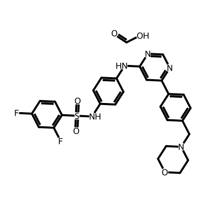 O=CO.O=S(=O)(Nc1ccc(Nc2cc(-c3ccc(CN4CCOCC4)cc3)ncn2)cc1)c1ccc(F)cc1F